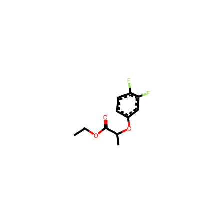 CCOC(=O)C(C)Oc1ccc(F)c(F)c1